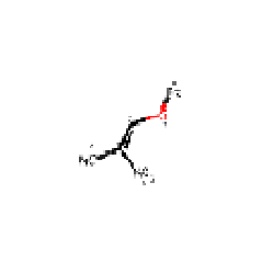 CCOC=C(C#N)[N+](=O)[O-]